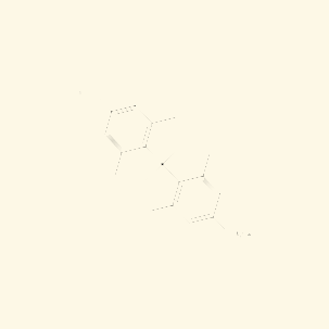 COc1cc(C)c(C(C)(C)c2c(C)cc(OC(C)=O)cc2C)c(C)c1